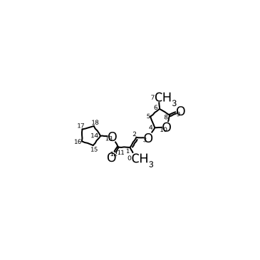 C/C(=C\OC1CC(C)C(=O)O1)C(=O)OC1CCCC1